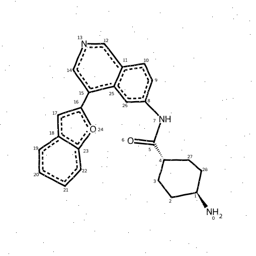 N[C@H]1CC[C@H](C(=O)Nc2ccc3cncc(-c4cc5ccccc5o4)c3c2)CC1